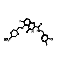 O=C(NCc1ccc(F)c(Cl)c1)c1nc2ccc(F)c(OCC3COC(C(=O)O)CO3)c2c(=O)[nH]1